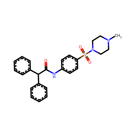 CN1CCN(S(=O)(=O)c2ccc(NC(=O)C(c3ccccc3)c3ccccc3)cc2)CC1